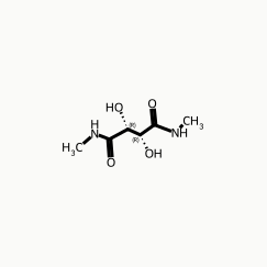 CNC(=O)[C@H](O)[C@@H](O)C(=O)NC